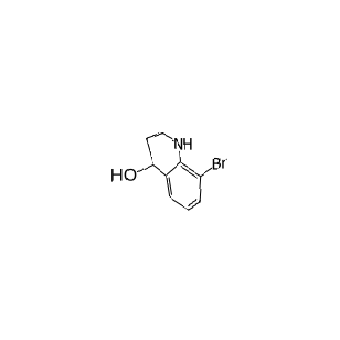 OC1CCNc2c(Br)cccc21